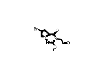 COc1nn2cc(Br)cc2c(=O)n1CC=O